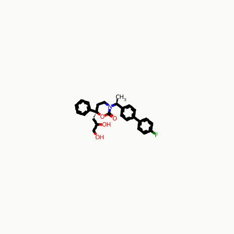 C[C@@H](c1ccc(-c2ccc(F)cc2)cc1)N1CC[C@](CC(O)CO)(c2ccccc2)OC1=O